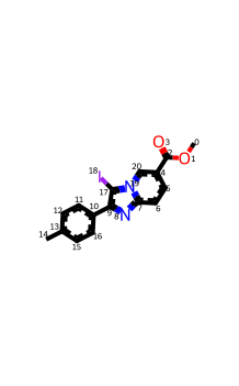 COC(=O)c1ccc2nc(-c3ccc(C)cc3)c(I)n2c1